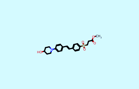 COC(=O)CCS(=O)(=O)c1ccc(C=Cc2ccc(N3CCC(O)CC3)cc2)cc1